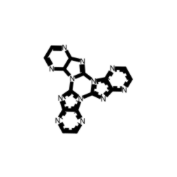 C1=NC2N=C3N(c4nc5nccnc5n4-c4nc5nccnc5n43)C2N=C1